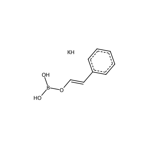 OB(O)OC=Cc1ccccc1.[KH]